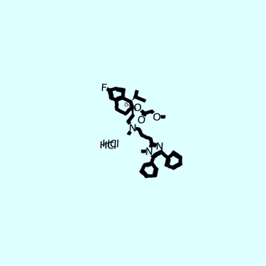 COCC(=O)O[C@]1(CCN(C)CCCc2nc(-c3ccccc3)c(-c3ccccc3)n2C)CCc2cc(F)ccc2[C@@H]1C(C)C.Cl.Cl